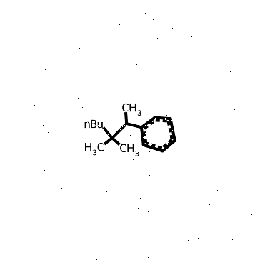 CCCCC(C)(C)C(C)c1ccccc1